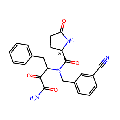 N#Cc1cccc(CN(C(=O)[C@H]2CCC(=O)N2)C(Cc2ccccc2)C(=O)C(N)=O)c1